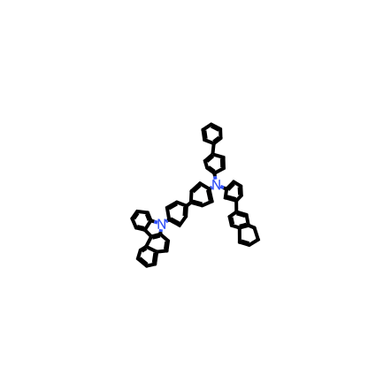 C1=Cc2ccc(-c3cccc(N(c4ccc(-c5ccccc5)cc4)c4ccc(-c5ccc(-n6c7ccccc7c7c8ccccc8ccc76)cc5)cc4)c3)cc2CC1